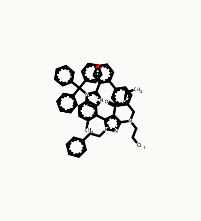 CCCN(Cc1ccc(-c2ccccc2-c2nnnn2C(c2ccccc2)(c2ccccc2)c2ccccc2)cc1)c1nn(CCc2ccccc2)c(-c2ccccc2C)c1C(=O)OCC